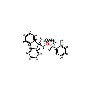 COCC1(CO[Si](C)(C)c2ccccc2C)c2ccccc2-c2ccccc21